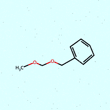 COCOCc1ccccc1